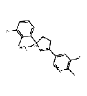 Cc1ncc(C2=C[C@](C(=O)O)(c3cccc(F)c3C)CC2)cc1F